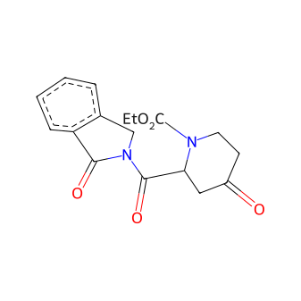 CCOC(=O)N1CCC(=O)CC1C(=O)N1Cc2ccccc2C1=O